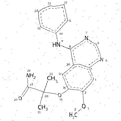 COc1cc2ncnc(Nc3ccccc3)c2cc1OC(C)(C)C(N)=O